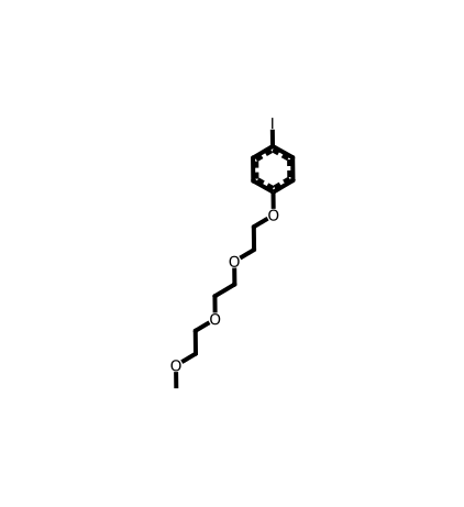 COCCOCCOCCOc1ccc(I)cc1